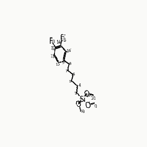 CO[Si](CCCCCCc1ccc(F)c(F)c1)(OC)OC